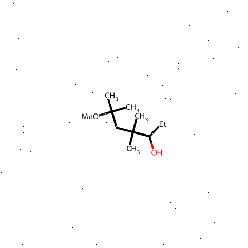 CCC(O)C(C)(C)CC(C)(C)OC